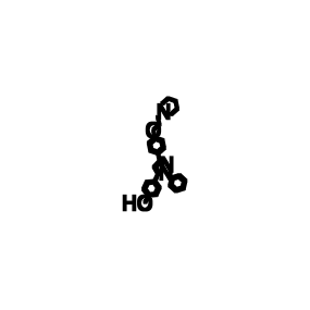 Oc1ccc(-c2cc(-c3ccc(OCCN4CCCCC4)cc3)nn2-c2ccccc2)cc1